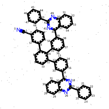 N#Cc1cccc(-c2cccc(-c3cccc(-c4nc(-c5ccccc5)nc5ccccc45)c3)c2-c2cccc(-c3nc(-c4ccccc4)nc4ccccc34)c2)c1